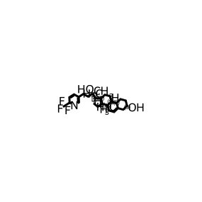 C[C@]12CC[C@H]3[C@@H](CC=C4C[C@@H](O)CC[C@@]43C)[C@@H]1CC[C@@H]2[C@](C)(O)CCc1ccc(C(F)(F)F)nc1